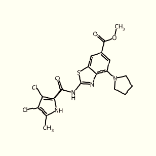 COC(=O)c1cc(N2CCCC2)c2nc(NC(=O)c3[nH]c(C)c(Cl)c3Cl)sc2c1